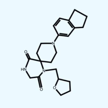 O=C1CNC(=O)C2(CCN(c3ccc4c(c3)CCC4)CC2)N1CC1CCCO1